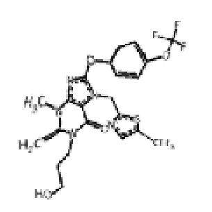 C=C1N(CCCO)C(=O)c2c(nc(OC3C=CC(OC(F)(F)F)=CC3)n2Cc2ncc(C)s2)N1C